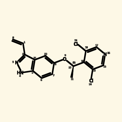 C=Cc1n[nH]c2ccc(O[C@H](C)c3c(Cl)cncc3Cl)cc12